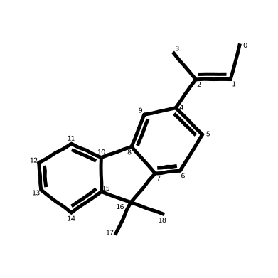 C/C=C(\C)c1ccc2c(c1)-c1ccccc1C2(C)C